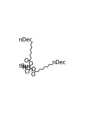 CCCCCCCCCCCCCCCCCC(=O)OC(Cl)C(OC(=O)CCCCCCCCCCCCCCCCC)C(C)(C)C.N